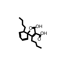 CCCCC(=C(C(=O)O)C(=O)O)C1(C)C=CC=CC1CCCC